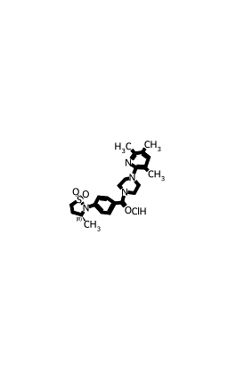 Cc1cc(C)c(N2CCN(C(=O)c3ccc(N4[C@H](C)CCS4(=O)=O)cc3)CC2)nc1C.Cl